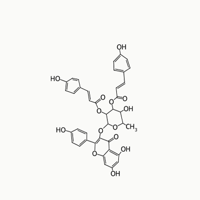 CC1OC(Oc2c(-c3ccc(O)cc3)oc3cc(O)cc(O)c3c2=O)C(OC(=O)/C=C/c2ccc(O)cc2)C(OC(=O)/C=C/c2ccc(O)cc2)C1O